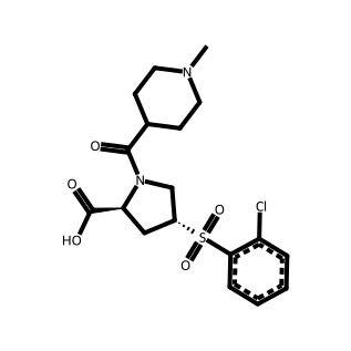 CN1CCC(C(=O)N2C[C@H](S(=O)(=O)c3ccccc3Cl)C[C@H]2C(=O)O)CC1